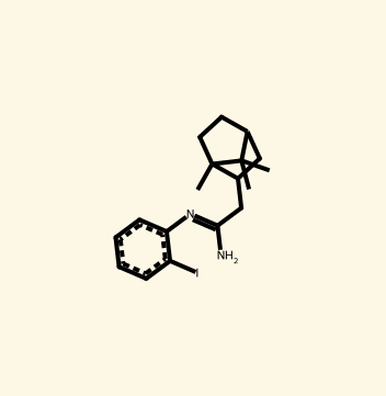 CC1(C)C2CCC1(C)C(CC(N)=Nc1ccccc1I)C2